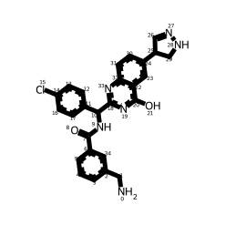 NCc1cccc(C(=O)NC(c2ccc(Cl)cc2)c2nc(O)c3cc(C4C=NNC4)ccc3n2)c1